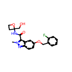 Cn1nc2ccc(OCc3ccccc3F)cc2c1C(=O)NC1(CO)CCO1